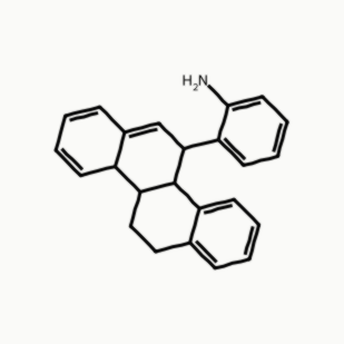 Nc1ccccc1C1C=C2C=CC=CC2C2CCc3ccccc3C12